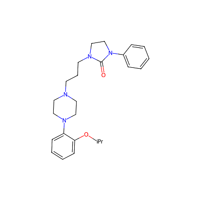 CC(C)Oc1ccccc1N1CCN(CCCN2CCN(c3ccccc3)C2=O)CC1